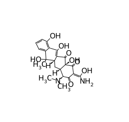 CN(C)[C@@H]1C(=O)/C(=C(\N)O)C(=O)[C@@]2(O)C(=O)C3=C(O)c4c(O)cccc4[C@@](C)(O)[C@H]3C[C@@H]12